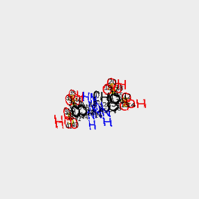 CNc1nc(Nc2ccc3c(S(=O)(=O)O)cc(S(=O)(=O)O)cc3c2)nc(Nc2ccc3c(S(=O)(=O)O)cc(S(=O)(=O)O)cc3c2)n1